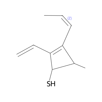 C=CC1=C(/C=C\C)C(C)C1S